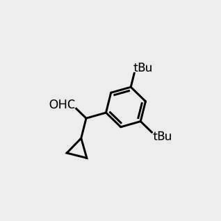 CC(C)(C)c1cc(C(C=O)C2CC2)cc(C(C)(C)C)c1